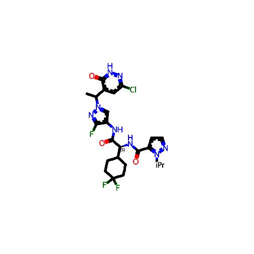 CC(c1cc(Cl)n[nH]c1=O)n1cc(NC(=O)[C@@H](NC(=O)c2ccnn2C(C)C)C2CCC(F)(F)CC2)c(F)n1